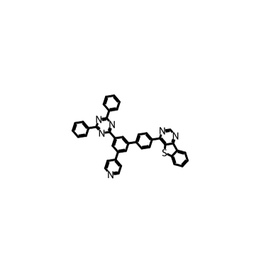 c1ccc(-c2nc(-c3ccccc3)nc(-c3cc(-c4ccncc4)cc(-c4ccc(-c5ncnc6c5sc5ccccc56)cc4)c3)n2)cc1